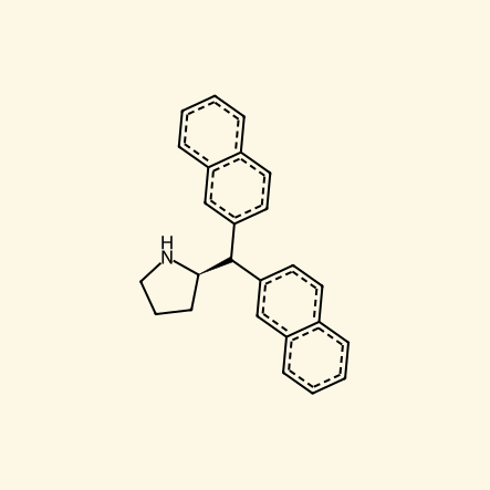 c1ccc2cc(C(c3ccc4ccccc4c3)[C@H]3CCCN3)ccc2c1